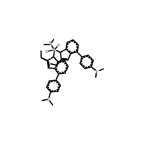 CCC1=Cc2c(-c3ccc([S+](C)C)cc3)cccc2[CH]1[Zr]([Cl])([Cl])([CH]1C(CC)=Cc2c(-c3ccc([S+](C)C)cc3)cccc21)[SiH](C)C